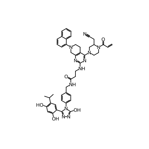 C=CC(=O)N1CCN(c2nc(NCCC(=O)NCc3ccc(-n4c(O)nnc4-c4cc(C(C)C)c(O)cc4O)cc3)nc3c2CCN(c2cccc4ccccc24)C3)CC1CC#N